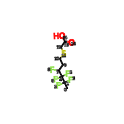 CC(F)(F)C(F)(F)C(F)CCSCC(=O)O